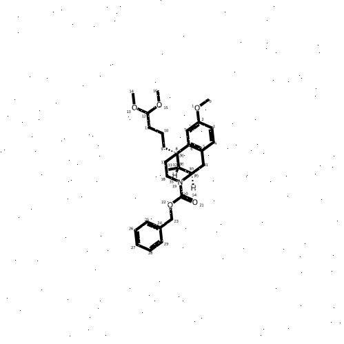 COc1ccc2c(c1)[C@]1(CCCC(OC)OC)CCN(C(=O)OCc3ccccc3)[C@H](C2)[C@@H]1C